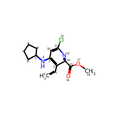 C=Cc1c(NC2CCCC2)cc(Cl)nc1C(=O)OC